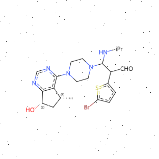 CC(C)NC(C(C=O)c1ccc(Br)s1)N1CCN(c2ncnc3c2[C@H](C)C[C@@H]3O)CC1